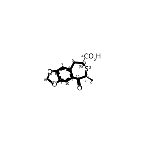 C[C@@H]1S[C@@H](C(=O)O)Cc2cc3c(cc2C1=O)OCO3